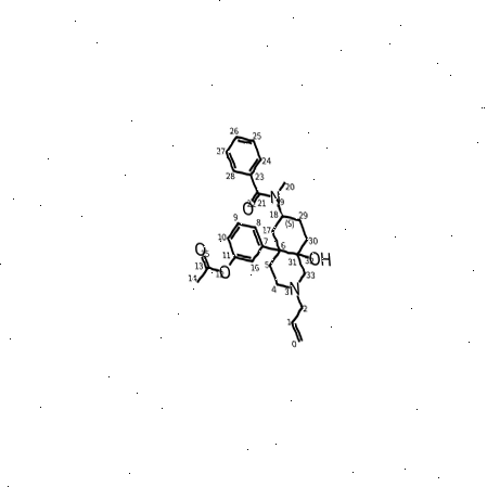 C=CCN1CCC2(c3cccc(OC(C)=O)c3)C[C@@H](N(C)C(=O)c3ccccc3)CCC2(O)C1